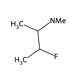 CNC(C)C(C)F